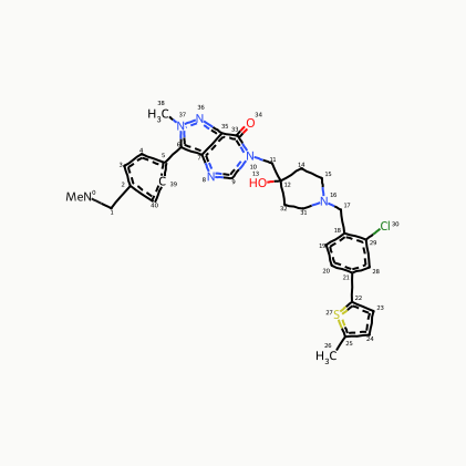 CNCc1ccc(-c2c3ncn(CC4(O)CCN(Cc5ccc(-c6ccc(C)s6)cc5Cl)CC4)c(=O)c3nn2C)cc1